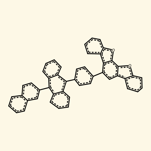 c1ccc2cc(-c3c4ccccc4c(-c4ccc(-c5cc6c7ccccc7oc6c6oc7ccccc7c56)cc4)c4ccccc34)ccc2c1